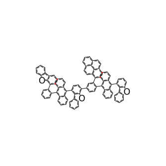 c1ccc(-c2cccc3c2oc2ccccc23)c(-c2c3ccccc3c(-c3ccc(-c4ccc(-c5c6ccccc6c(-c6cccc7oc8ccccc8c67)c6ccccc56)c(-c5ccc6ccc7cccc8ccc5c6c78)c4)c4oc5ccccc5c34)c3ccccc23)c1